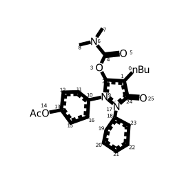 CCCCc1c(OC(=O)N(C)C)n(-c2ccc(OC(C)=O)cc2)n(-c2ccccc2)c1=O